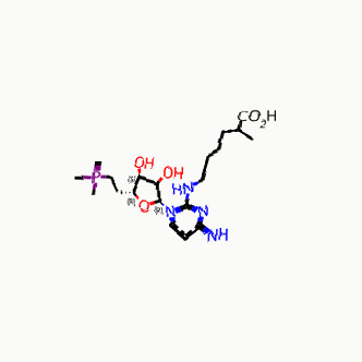 C=P(C)(C)CC[C@H]1O[C@@H](n2ccc(=N)nc2NCCCCC(C)C(=O)O)C(O)[C@@H]1O